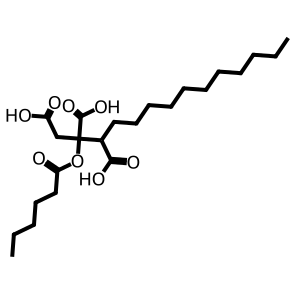 CCCCCCCCCCCC(C(=O)O)C(CC(=O)O)(OC(=O)CCCCC)C(=O)O